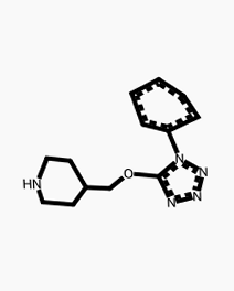 c1ccc(-n2nnnc2OCC2CCNCC2)cc1